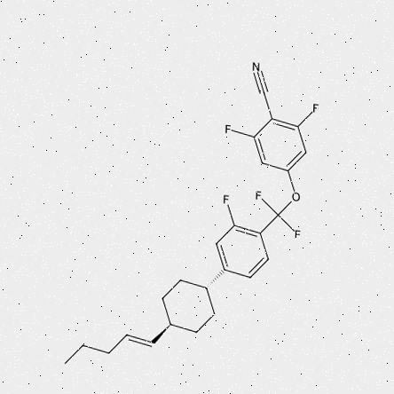 CCCC=C[C@H]1CC[C@H](c2ccc(C(F)(F)Oc3cc(F)c(C#N)c(F)c3)c(F)c2)CC1